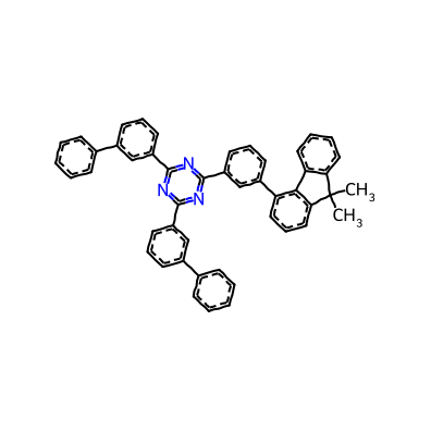 CC1(C)c2ccccc2-c2c(-c3cccc(-c4nc(-c5cccc(-c6ccccc6)c5)nc(-c5cccc(-c6ccccc6)c5)n4)c3)cccc21